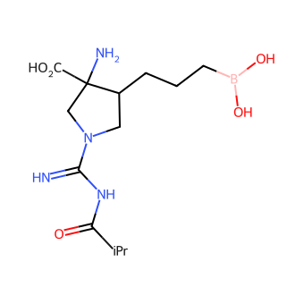 CC(C)C(=O)NC(=N)N1CC(CCCB(O)O)C(N)(C(=O)O)C1